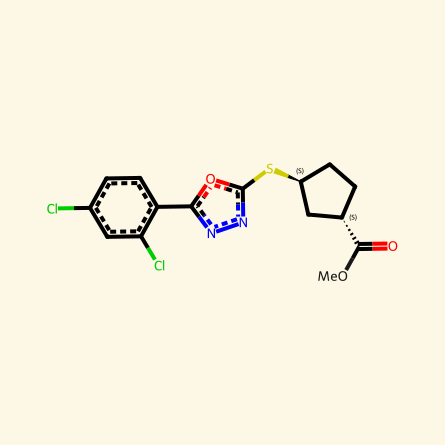 COC(=O)[C@H]1CC[C@H](Sc2nnc(-c3ccc(Cl)cc3Cl)o2)C1